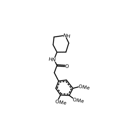 COc1cc(CC(=O)NC2CCNCC2)cc(OC)c1OC